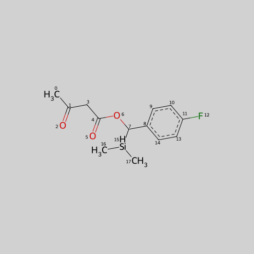 CC(=O)CC(=O)OC(c1ccc(F)cc1)[SiH](C)C